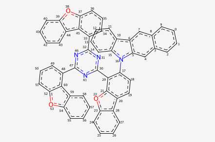 c1ccc2cc3c(cc2c1)c1ccccc1n3-c1ccc2c(oc3ccccc32)c1-c1nc(-c2cccc3oc4ccccc4c23)nc(-c2cccc3oc4ccccc4c23)n1